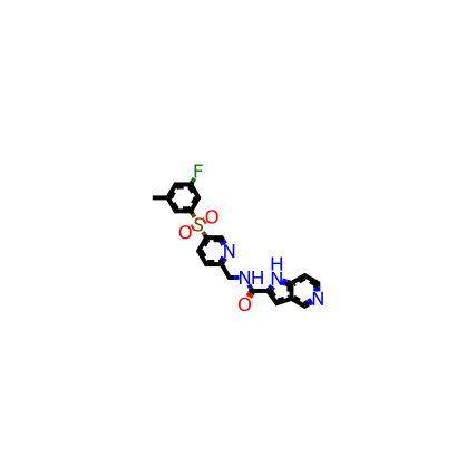 Cc1cc(F)cc(S(=O)(=O)c2ccc(CNC(=O)c3cc4cnccc4[nH]3)nc2)c1